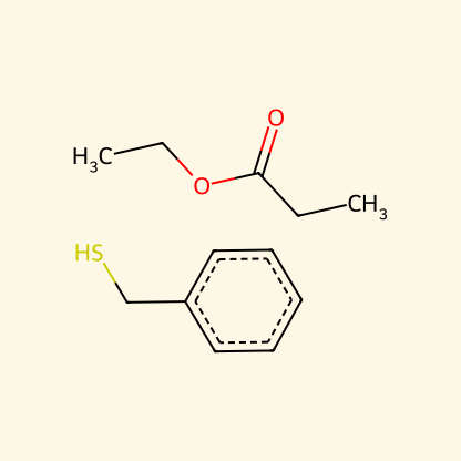 CCOC(=O)CC.SCc1ccccc1